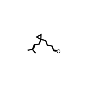 CC(C)=CCC1(CCCC=O)CC1